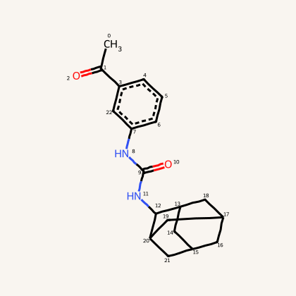 CC(=O)c1cccc(NC(=O)NC2C3CC4CC(C3)CC2C4)c1